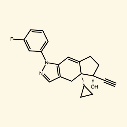 C#C[C@]1(O)CCC2=Cc3c(cnn3-c3cccc(F)c3)C[C@@]21C1CC1